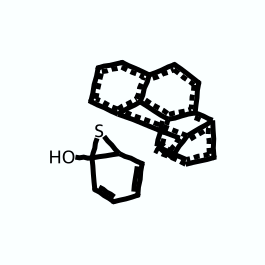 OC12C=CC=CC1S2.c1cc2ccc3c4ccc5cc4c(c1)c2c53